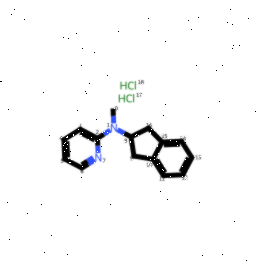 CN(c1ccccn1)C1Cc2ccccc2C1.Cl.Cl